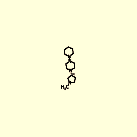 CN1CC[C@@H](N2CCN(N3CCCCC3)CC2)C1